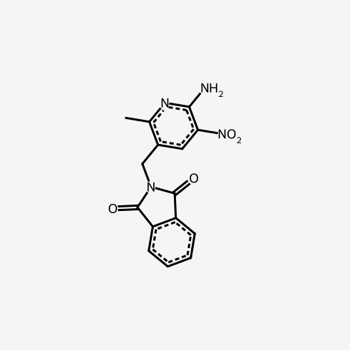 Cc1nc(N)c([N+](=O)[O-])cc1CN1C(=O)c2ccccc2C1=O